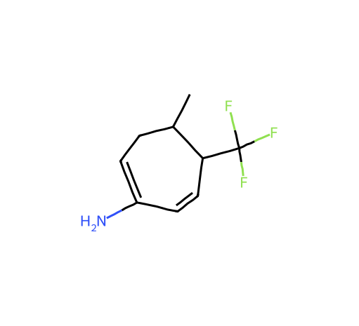 CC1CC=C(N)C=CC1C(F)(F)F